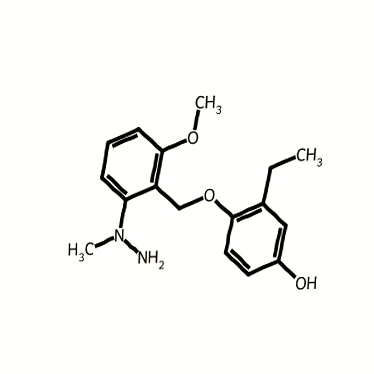 CCc1cc(O)ccc1OCc1c(OC)cccc1N(C)N